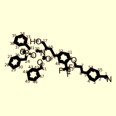 N#Cc1ccc(CCCOc2ccc(CCC(CO)N(COP(=O)(Cc3ccccc3)Cc3ccccc3)C(=O)OCc3ccccc3)cc2C(F)(F)F)cc1